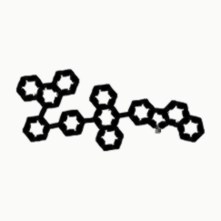 c1ccc(-c2cc3ccccc3c3ccccc23)c(-c2ccc(-c3c4ccccc4c(-c4ccc5c(c4)sc4c6ccccc6ccc54)c4ccccc34)cc2)c1